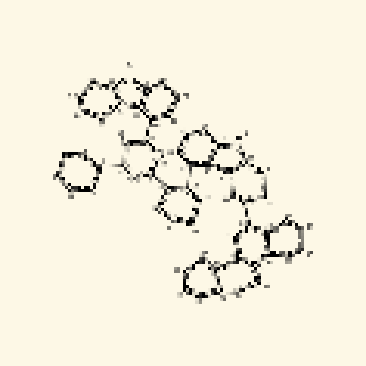 c1ccc(-c2nc(-c3ccccc3-c3cccc4oc5ccc(-c6cc7c8ccccc8ccc7c7ccccc67)cc5c34)nc(-c3cccc4oc5ccccc5c34)n2)cc1